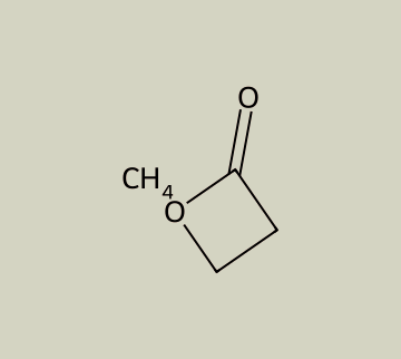 C.O=C1CCO1